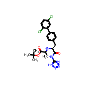 CC(N[C@@H](Cc1ccc(-c2cc(Cl)ccc2Cl)cc1)C(=O)Nc1nnn[nH]1)C(=O)OC(C)(C)C